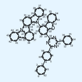 c1ccc(-c2ccc(-c3nc(-c4ccccc4)nc(-c4ccc(-n5c6ccccc6c6ccc7c(c8cccc9c%10ccccc%10n7c98)c65)c5c4oc4ccccc45)n3)cc2)cc1